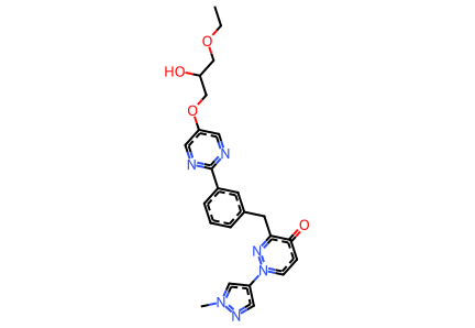 CCOCC(O)COc1cnc(-c2cccc(Cc3nn(-c4cnn(C)c4)ccc3=O)c2)nc1